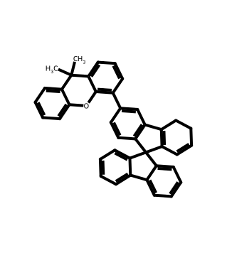 CC1(C)c2ccccc2Oc2c(-c3ccc4c(c3)C3=C(C=CCC3)C43c4ccccc4-c4ccccc43)cccc21